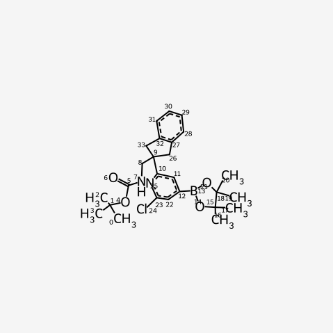 CC(C)(C)OC(=O)NCC1(c2cc(B3OC(C)(C)C(C)(C)O3)cc(Cl)n2)Cc2ccccc2C1